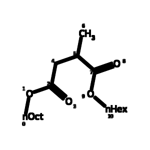 CCCCCCCCOC(=O)CC(C)C(=O)OCCCCCC